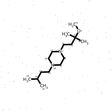 COC(C)(C)CCN1CCN(CCC(C)C)CC1